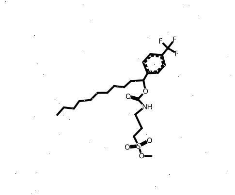 CCCCCCCCCCC(OC(=O)NCCCS(=O)(=O)OC)c1ccc(C(F)(F)F)cc1